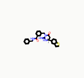 C[C@@]1(c2ccc3sccc3c2)CC(=O)N(Cc2cccc(C(=O)NCc3ccccc3)c2)C(=N)N1